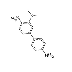 CN(C)c1cc(-c2ccc(N)cc2)ccc1N